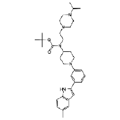 Cc1ccc2[nH]c(-c3cccc(N4CCC(N(CCN5CCN(C(C)C)CC5)C(=O)OC(C)(C)C)CC4)c3)cc2c1